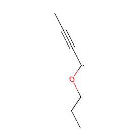 CC#C[CH]OCCC